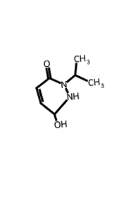 CC(C)N1NC(O)C=CC1=O